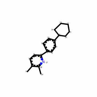 Cc1ccc(-c2ccc(C3CCCCC3)cc2)nc1C